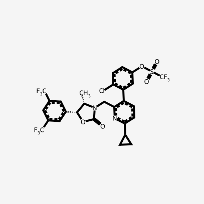 C[C@H]1[C@@H](c2cc(C(F)(F)F)cc(C(F)(F)F)c2)OC(=O)N1Cc1nc(C2CC2)ccc1-c1cc(OS(=O)(=O)C(F)(F)F)ccc1Cl